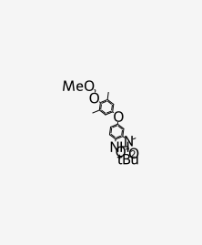 COCOc1c(C)cc(Oc2ccc(N)c(N(C)C(=O)OC(C)(C)C)c2)cc1C